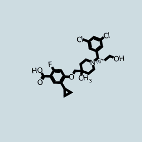 CC1(COc2cc(F)c(C(=O)O)cc2C2CC2)CCN([C@@H](CCO)c2cc(Cl)cc(Cl)c2)CC1